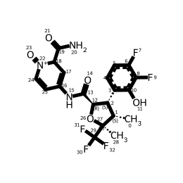 C[C@H]1[C@@H](c2ccc(F)c(F)c2O)[C@H](C(=O)NC2=CC(C(N)=O)[N+](=O)C=C2)O[C@]1(C)C(F)(F)F